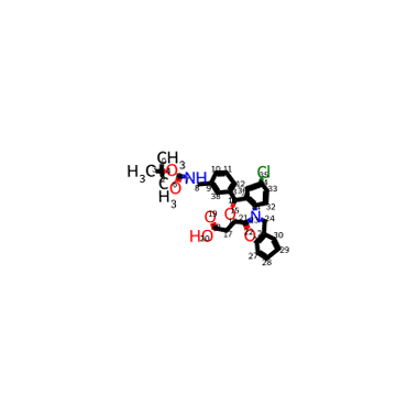 CC(C)(C)OC(=O)NCc1cccc(C2OC(CC(=O)O)C(=O)N(Cc3ccccc3)c3ccc(Cl)cc32)c1